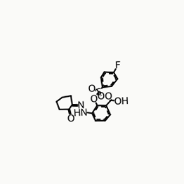 O=C1CCCC/C1=N/Nc1cccc(C(=O)O)c1OS(=O)(=O)c1ccc(F)cc1